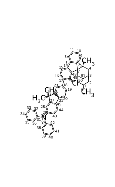 CC1CC2CC(C)C3(c4ccccc4-c4ccc(-c5ccc6c(c5)C(C)(C)c5cc(N(c7ccccc7)c7ccccc7)ccc5-6)c(Cl)c43)C(C1)C2